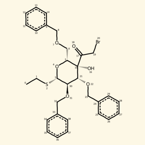 CCS[C@@H]1O[C@H](COCc2ccccc2)[C@@](O)(C(=O)CBr)[C@H](OCc2ccccc2)[C@H]1OCc1ccccc1